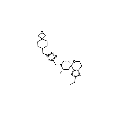 CCc1cc2c(s1)CCO[C@@]21CCN(Cc2cn(CC3CCC4(CC3)COC4)nn2)[C@@H](C)C1